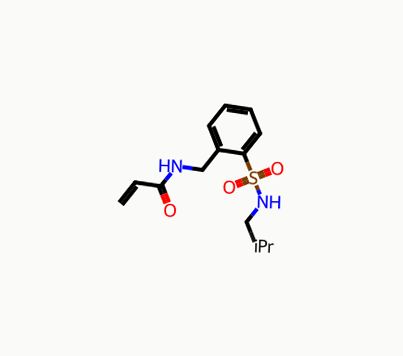 C=CC(=O)NCc1ccccc1S(=O)(=O)NCC(C)C